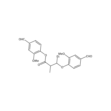 CCC(Oc1ccc(C=O)cc1OC)C(C)C(=O)Oc1ccc(C=O)cc1OC